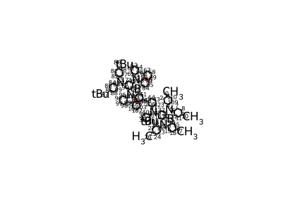 Cc1ccc(N2c3ccc(C)cc3B3c4cc(C)ccc4N(c4ccc(C)cc4)c4c3c2cc(N(c2ccccc2)c2cccc(-c3ccc5c(c3)B3c6ccccc6N(c6ccccc6-c6ccccc6)c6cc(N(c7ccc(C(C)(C)C)cc7)c7ccc(C(C)(C)C)cc7)cc(c63)N5c3ccccc3-c3ccccc3)c2)c4C(C)(C)C)cc1